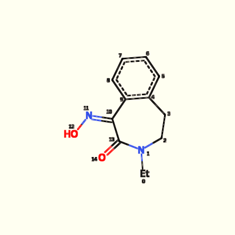 CCN1CCc2ccccc2C(=NO)C1=O